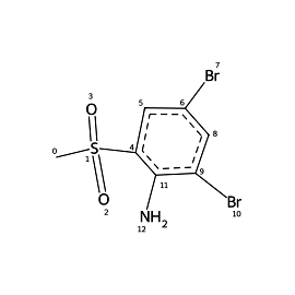 CS(=O)(=O)c1cc(Br)cc(Br)c1N